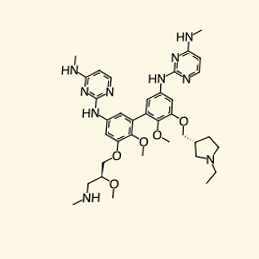 CCN1CC[C@@H](COc2cc(Nc3nccc(NC)n3)cc(-c3cc(Nc4nccc(NC)n4)cc(OC[C@H](CNC)OC)c3OC)c2OC)C1